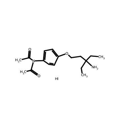 CCC(N)(CC)CCOc1ccc(N(C(C)=O)C(C)=O)cc1.I